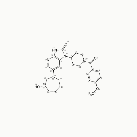 O=C(c1ccc(OC(F)(F)F)cc1)N1CCC(n2c(=O)[nH]c3ncc([C@H]4CCCC[C@H](O)C4)cc32)CC1